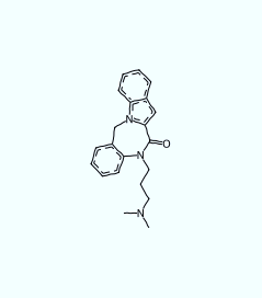 CN(C)CCCN1C(=O)c2cc3ccccc3n2Cc2ccccc21